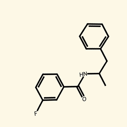 CC(Cc1ccccc1)NC(=O)c1cccc(F)c1